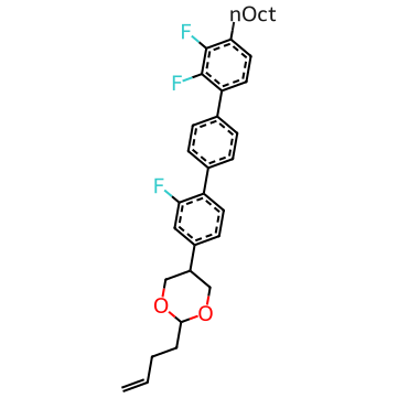 C=CCCC1OCC(c2ccc(-c3ccc(-c4ccc(CCCCCCCC)c(F)c4F)cc3)c(F)c2)CO1